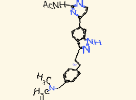 CC(=O)Nc1nccc(-c2ccc3c(/C=C/c4ccc(CN(C)C)cc4)n[nH]c3c2)n1